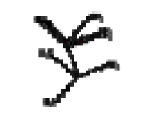 CCCCCCCCCCC(CCCCCCCCCC)(CCCCCCCCCC)CCCCCCCCC(CCCCCCCCCC)(CCCCCCCCCC)[N+](CCCCCCCCCC)(CCCCCCCCCC)CCCCCCCCCC